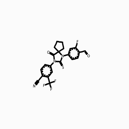 N#Cc1ccc(N2C(=O)C3(CCCC3)N(c3ccc(C=O)c(F)c3)C2=S)cc1C(F)(F)F